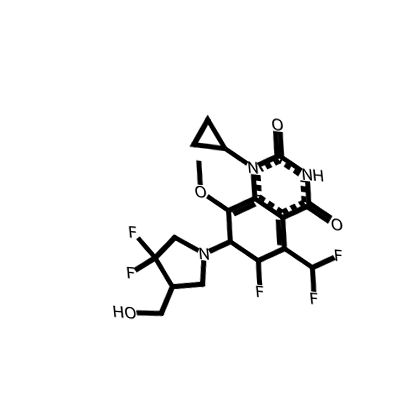 COC1=c2c(c(=O)[nH]c(=O)n2C2CC2)=C(C(F)F)C(F)C1N1CC(CO)C(F)(F)C1